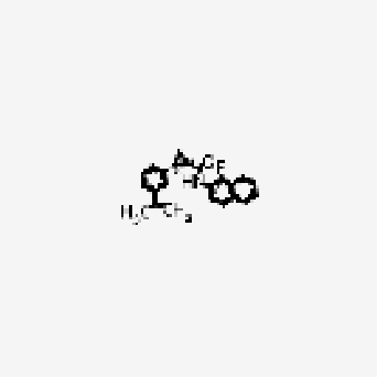 CC(C)c1cccc([C@@H]2C[C@H]2C(=O)Nc2ccc3ccccc3c2F)c1